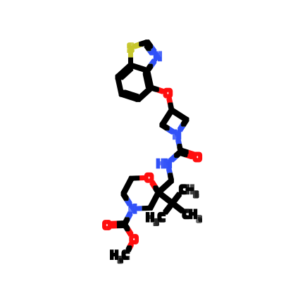 COC(=O)N1CCOC(CNC(=O)N2CC(Oc3cccc4scnc34)C2)(C(C)(C)C)C1